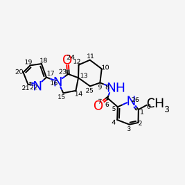 Cc1cccc(C(=O)NC2CCCC3(CCN(c4ccccn4)C3=O)C2)n1